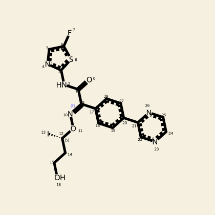 O=C(Nc1ncc(F)s1)/C(=N/O[C@@H](I)CCO)c1ccc(-c2cnccn2)cc1